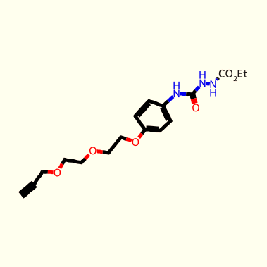 C#CCOCCOCCOc1ccc(NC(=O)NNC(=O)OCC)cc1